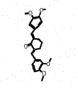 COc1ccc(C=C2CCCC(=Cc3ccc(OC)c(OC)c3)C2=O)cc1OC